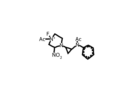 CC(=O)N(c1ccccc1)C1CC1N1CC[N+](F)(C(C)=O)CC1[N+](=O)[O-]